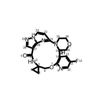 O=C1NC2(CC2)COc2ncc(F)cc2[C@@H]2COCCN2c2ccn3ncc1c3n2